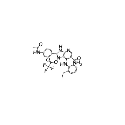 CCc1ccccc1Nc1c(C(N)=O)cnc2c1N(OC(=O)C(F)(F)F)C(c1ccc(NC(C)=O)cc1)N2